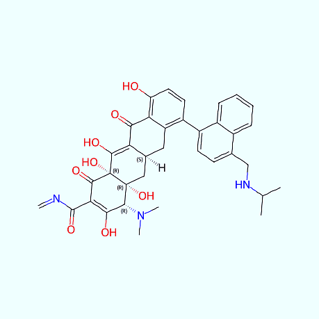 C=NC(=O)C1=C(O)[C@@H](N(C)C)[C@]2(O)C[C@@H]3Cc4c(-c5ccc(CNC(C)C)c6ccccc56)ccc(O)c4C(=O)C3=C(O)[C@]2(O)C1=O